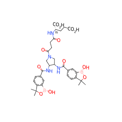 CC1(C)OB(O)c2cc(C(=O)NC3CN(C(=O)CCC(=O)N[C@@H](CCC(=O)O)C(=O)O)CC3NC(=O)c3ccc4c(c3)B(O)OC4(C)C)ccc21